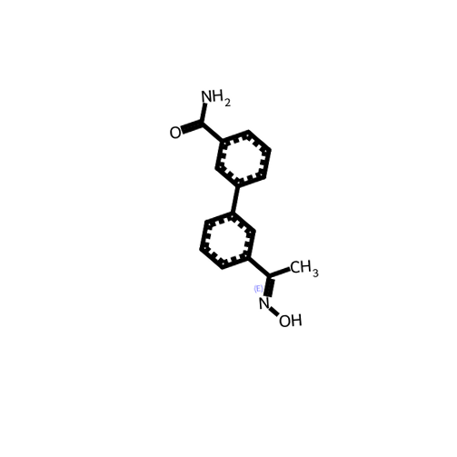 C/C(=N\O)c1cccc(-c2cccc(C(N)=O)c2)c1